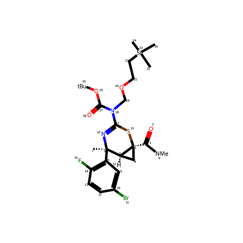 CNC(=O)[C@]12C[C@H]1[C@@](C)(c1cc(Br)ccc1F)N=C(N(COCC[Si](C)(C)C)C(=O)OC(C)(C)C)S2